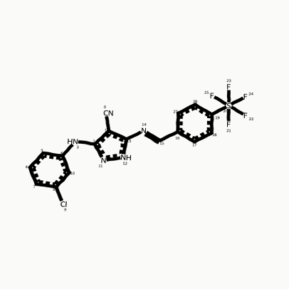 N#Cc1c(Nc2cccc(Cl)c2)n[nH]c1/N=C/c1ccc(S(F)(F)(F)(F)F)cc1